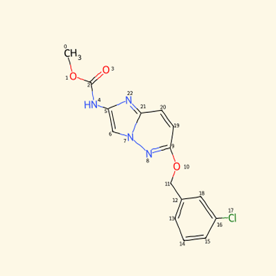 COC(=O)Nc1cn2nc(OCc3cccc(Cl)c3)ccc2n1